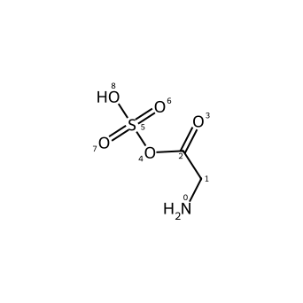 NCC(=O)OS(=O)(=O)O